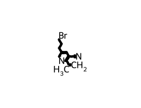 C=C(C)c1ncc(CCCBr)cc1C#N